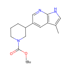 Cc1c[nH]c2ncc(C3CCCN(C(=O)OC(C)(C)C)C3)cc12